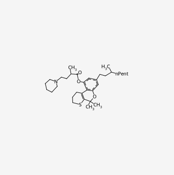 CCCCCC(C)CCc1cc(OC(=O)C(C)CCN2CCCCC2)c2c(c1)OC(C)(C)C1=C2CCCS1